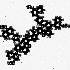 CC(C)(C)c1ccc(-c2ccc(N(c3ccc(-c4ccc(C(C)(C)C)c5ccccc45)cc3)c3cc4c(c5oc6ccccc6c35)-c3ccc5c(c3[Si]4(C)C)[Si](C)(C)c3cc(N(c4ccc(-c6ccc(C(C)(C)C)c7ccccc67)cc4)c4ccc(-c6ccc(C(C)(C)C)c7ccccc67)cc4)c4c(oc6ccccc64)c3-5)cc2)c2ccccc12